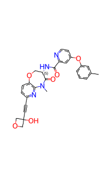 Cc1cccc(Oc2ccnc(C(=O)N[C@H]3COc4ccc(C#CC5(O)COC5)nc4N(C)C3=O)c2)c1